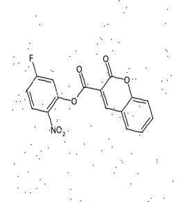 O=C(Oc1cc(F)ccc1[N+](=O)[O-])c1cc2ccccc2oc1=O